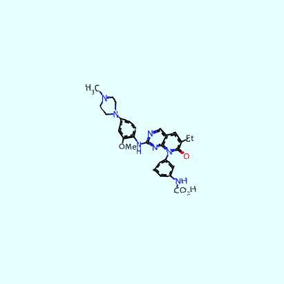 CCc1cc2cnc(Nc3ccc(N4CCN(C)CC4)cc3OC)nc2n(-c2cccc(NC(=O)O)c2)c1=O